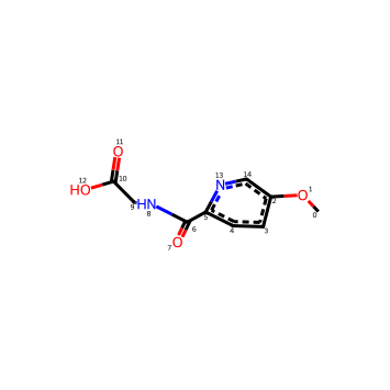 COc1ccc(C(=O)NCC(=O)O)nc1